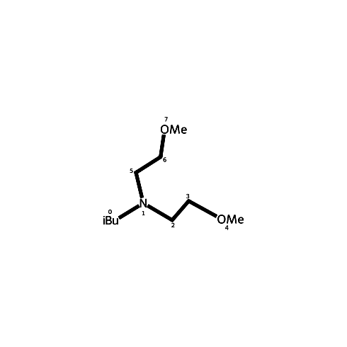 CCC(C)N(CCOC)CCOC